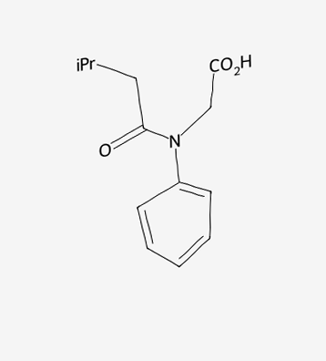 CC(C)CC(=O)N(CC(=O)O)c1ccccc1